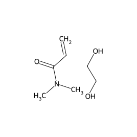 C=CC(=O)N(C)C.OCCO